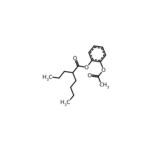 CCCCC(CCC)C(=O)Oc1ccccc1OC(C)=O